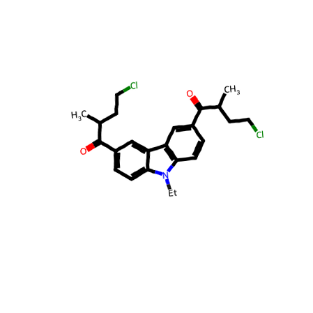 CCn1c2ccc(C(=O)C(C)CCCl)cc2c2cc(C(=O)C(C)CCCl)ccc21